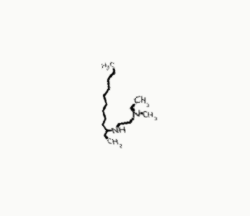 C=CC(CCCCCCCCC)NCCN(C)CC